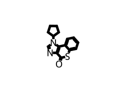 O=c1sc2ccccc2c2c1ncn2C1CCCC1